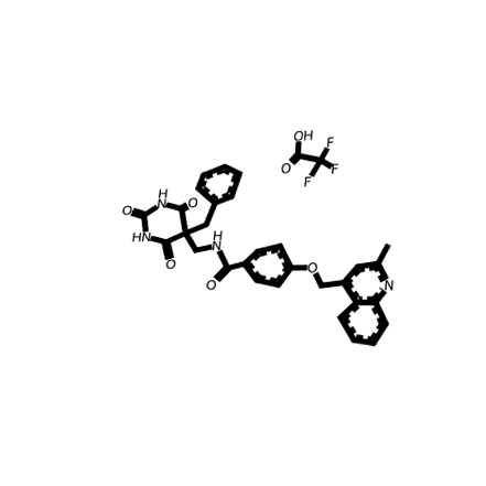 Cc1cc(COc2ccc(C(=O)NCC3(Cc4ccccc4)C(=O)NC(=O)NC3=O)cc2)c2ccccc2n1.O=C(O)C(F)(F)F